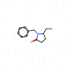 O=C1CCC(CI)N1Cc1ccccc1